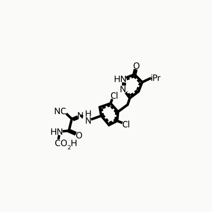 CC(C)c1cc(Cc2c(Cl)cc(N/N=C(/C#N)C(=O)NC(=O)O)cc2Cl)n[nH]c1=O